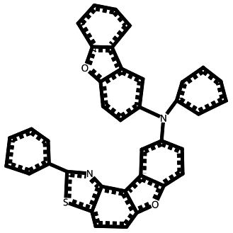 c1ccc(-c2nc3c(ccc4oc5ccc(N(c6ccccc6)c6ccc7oc8ccccc8c7c6)cc5c43)s2)cc1